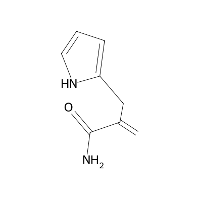 C=C(Cc1ccc[nH]1)C(N)=O